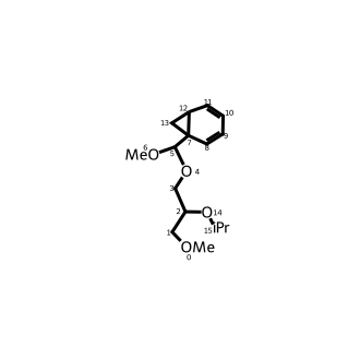 COCC(COC(OC)C12C=CC=CC1C2)OC(C)C